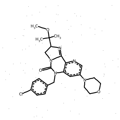 COC(C)(C)C1CN2C(=O)N(Cc3ccc(Cl)cc3)c3cc(N4CCOCC4)cnc3C2=N1